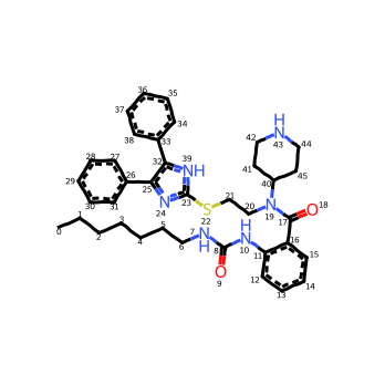 CCCCCCCNC(=O)Nc1ccccc1C(=O)N(CCSc1nc(-c2ccccc2)c(-c2ccccc2)[nH]1)C1CCNCC1